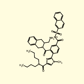 CCCCN(CCCC)C(=O)c1cn(C)c(-c2ccc(C(=O)NS(=O)(=O)c3ccc4ccccc4c3)cc2C(=O)N2Cc3ccccc3CC2CN)n1